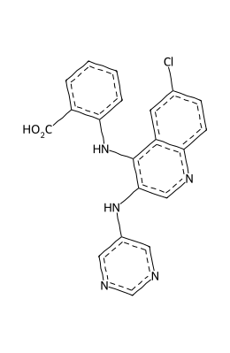 O=C(O)c1ccccc1Nc1c(Nc2cncnc2)cnc2ccc(Cl)cc12